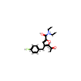 CCN(CC)C(=O)c1cc(Cc2ccc(F)cc2)c(C(C)=O)o1